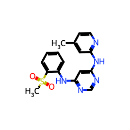 Cc1ccnc(Nc2cc(Nc3ccccc3S(C)(=O)=O)ncn2)c1